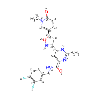 Cc1nc(C(=O)NCc2ccc(F)c(F)c2)cc(C2=NO[C@@H](c3ccc(=O)n(C)c3)C2)n1